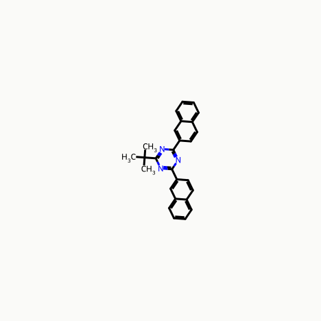 CC(C)(C)c1nc(-c2ccc3ccccc3c2)nc(-c2ccc3ccccc3c2)n1